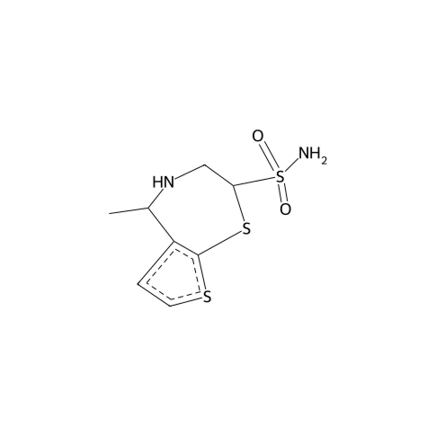 CC1NCC(S(N)(=O)=O)Sc2sccc21